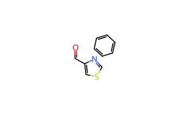 O=Cc1cscn1.c1ccccc1